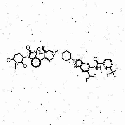 Cn1c(=O)n(C2CCC(=O)NC2=O)c2cccc(C3=CCN(C[C@H]4CC[C@H](n5cc6cc(NC(=O)c7cccc(C(F)(F)F)n7)c(C(F)F)cc6n5)CC4)CC3(F)F)c21